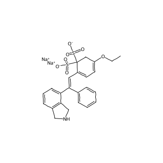 CCOC1=CC=C(C=C(c2ccccc2)c2cccc3c2CNC3)C(S(=O)(=O)[O-])(S(=O)(=O)[O-])C1.[Na+].[Na+]